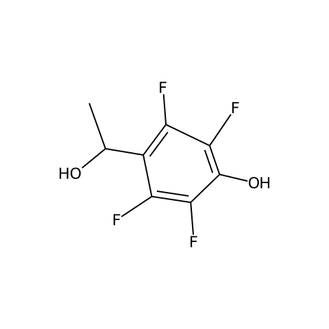 CC(O)c1c(F)c(F)c(O)c(F)c1F